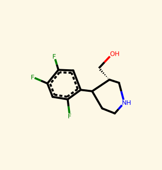 OC[C@@H]1CNCCC1c1cc(F)c(F)cc1F